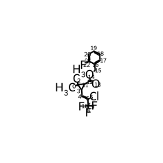 CC1(C)C(C=C(Cl)C(F)(F)F)C1C(=O)OCc1ccccc1F